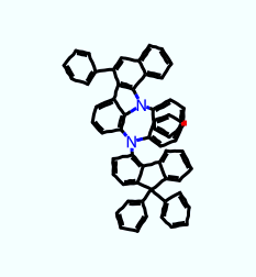 c1ccc(-c2cc3ccccc3c3c2c2cccc(N(c4ccccc4)c4cccc5c4-c4ccccc4C5(c4ccccc4)c4ccccc4)c2n3-c2ccccc2)cc1